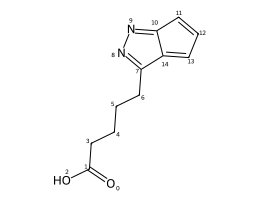 O=C(O)CCCCC1=NN=C2C=CC=C21